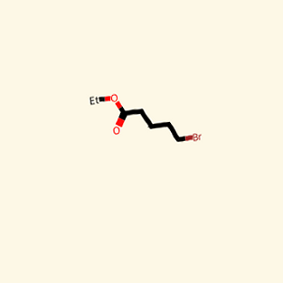 CCOC(=O)C[CH]CCBr